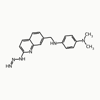 CN(C)c1ccc(NCc2ccc3ccc(NN=N)nc3c2)cc1